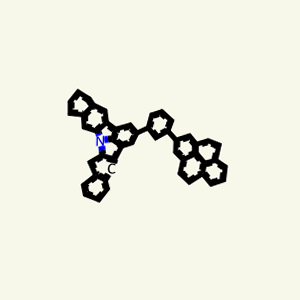 c1cc(-c2cc3ccc4cccc5ccc(c2)c3c45)cc(-c2cc3c4cc5ccccc5cc4n4c5cc6ccccc6cc5c(c2)c34)c1